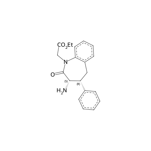 CCOC(=O)CN1C(=O)[C@@H](N)[C@@H](c2ccccc2)Cc2ccccc21